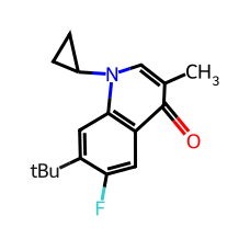 Cc1cn(C2CC2)c2cc(C(C)(C)C)c(F)cc2c1=O